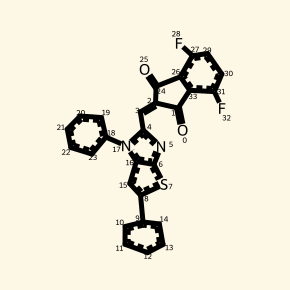 O=C1C(=Cc2nc3sc(-c4ccccc4)cc3n2-c2ccccc2)C(=O)c2c(F)ccc(F)c21